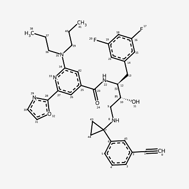 C#Cc1cccc(C2(NC[C@@H](O)[C@H](Cc3cc(F)cc(F)c3)NC(=O)c3cc(-c4ncco4)nc(N(CCC)CCC)c3)CC2)c1